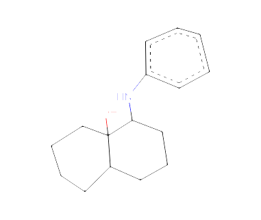 OC12CCCCC1CCCC2Nc1ccccc1